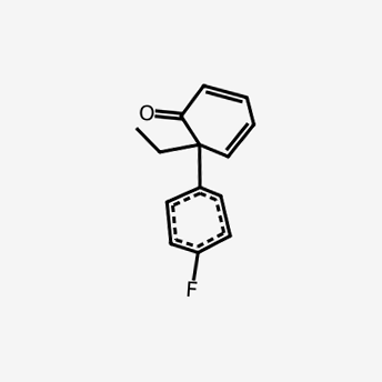 CCC1(c2ccc(F)cc2)C=CC=CC1=O